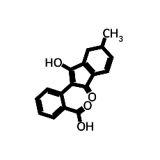 CC1C=CC2=C(C1)C(O)=C(c1ccccc1C(=O)O)C2=O